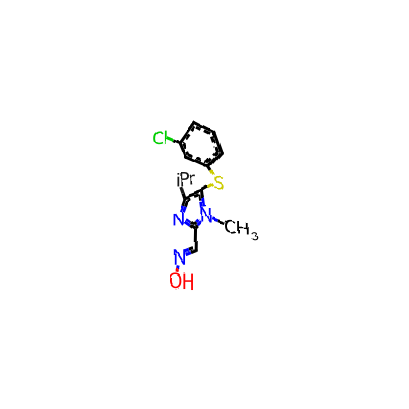 CC(C)c1nc(C=NO)n(C)c1Sc1cccc(Cl)c1